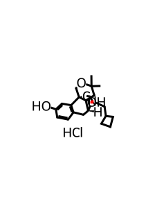 CC1(C)C[C@@]2(O)[C@H]3Cc4ccc(O)cc4[C@@]2(CCN3CC2CCC2)CO1.Cl